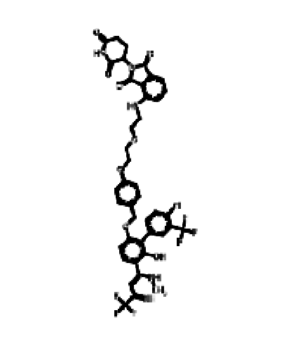 CN/C(=C\C(=N)C(F)(F)F)c1ccc(OCc2ccc(OCCOCCNc3cccc4c3C(=O)N(C3CCC(=O)NC3=O)C4=O)cc2)c(-c2ccc(Cl)c(C(F)(F)F)c2)c1O